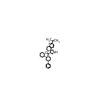 CC(C)c1ccc2c(n1)CCC[C@]21CNC[C@H]1C(=O)N1CC[C@@H](c2ccccc2)C[C@H]1C1CCCCC1